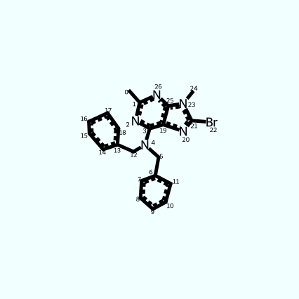 Cc1nc(N(Cc2ccccc2)Cc2ccccc2)c2nc(Br)n(C)c2n1